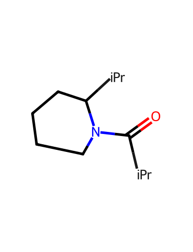 CC(C)C(=O)N1CCCCC1C(C)C